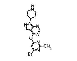 CCc1cc(Oc2ncnc3c2cnn3C2CCNCC2)nc(C)n1